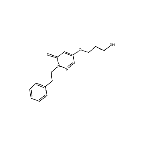 O=c1cc(OCCCO)cnn1CCc1ccccc1